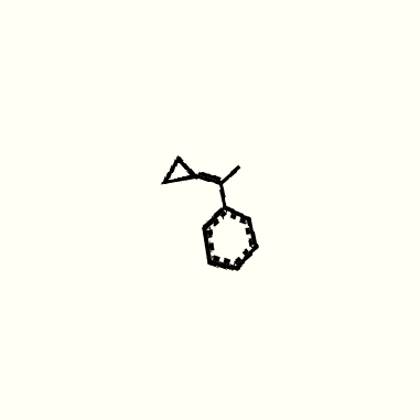 CC(=C1CC1)c1ccccc1